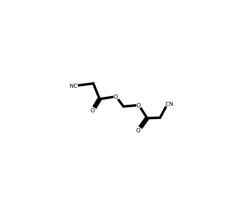 N#CCC(=O)OCOC(=O)CC#N